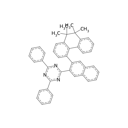 CC1(C)c2ccccc2-c2c(-c3cc4ccccc4cc3-c3nc(-c4ccccc4)nc(-c4ccccc4)n3)cccc2C1(C)C